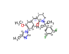 COc1cc(/C=C2/CCCN(C(C)(C)c3cc(F)cc(F)c3)C2=O)ccc1-n1cnc(C)c1